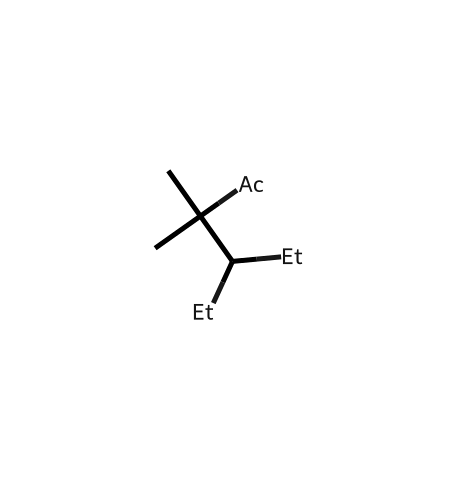 CCC(CC)C(C)(C)C(C)=O